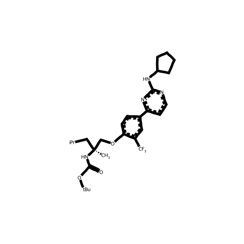 CC(C)C[C@@](C)(COc1ccc(-c2ccnc(NC3CCCC3)n2)cc1C(F)(F)F)NC(=O)OC(C)(C)C